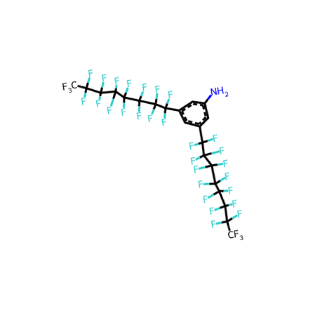 Nc1cc(C(F)(F)C(F)(F)C(F)(F)C(F)(F)C(F)(F)C(F)(F)C(F)(F)C(F)(F)F)cc(C(F)(F)C(F)(F)C(F)(F)C(F)(F)C(F)(F)C(F)(F)C(F)(F)C(F)(F)F)c1